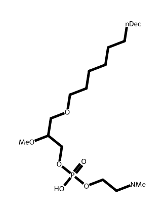 CCCCCCCCCCCCCCCCOCC(COP(=O)(O)OCCNC)OC